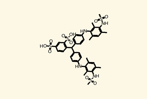 Cc1cc(C)c(NS(C)(=O)=O)c(C)c1Nc1ccc(C(c2ccc(Nc3c(C)cc(C)c(NS(C)(=O)=O)c3C)cc2)c2ccc(S(=O)(=O)O)cc2S(=O)(=O)O)cc1